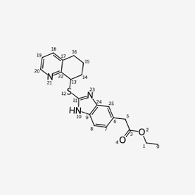 CCOC(=O)Cc1ccc2[nH]c(SC3CCCc4cccnc43)nc2c1